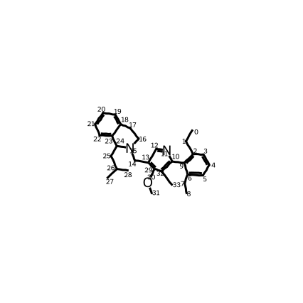 CCc1cccc(CC)c1-c1ncc(CN2CCc3ccccc3C2CC(C)C)c(OC)c1C